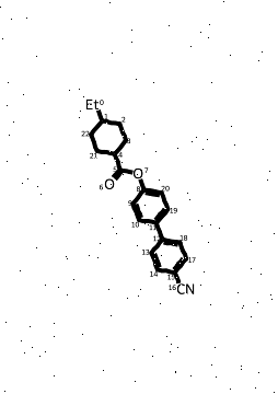 CCC1CCC(C(=O)Oc2ccc(-c3ccc(C#N)cc3)cc2)CC1